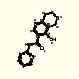 O=C(Nc1ccccn1)c1cnc2c(c1O)COCC2